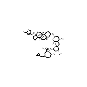 CC1CN(CC2CC2)CCC(O[C@H]2[C@@H](O)C[C@H](O[C@@H]3[C@@H](O)C[C@@H](O[C@H]4CC[C@@]5(C)[C@H](CC[C@@H]6[C@@H]5CC[C@]5(C)[C@@H](C7=CC(=O)OC7)CC[C@]65O)C4)O[C@@H]3C)O[C@@H]2C)O1